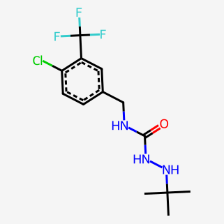 CC(C)(C)NNC(=O)NCc1ccc(Cl)c(C(F)(F)F)c1